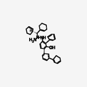 NN(Nc1ccc(-c2cccc(C3=CC=CCC3)c2)c(O)c1-c1ccccc1)C(C1=CCCCC1)[C@H]1C=CCCC1